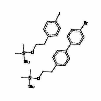 CC(C)(C)[Si](C)(C)OCCc1ccc(-c2ccc(Br)cc2)cc1.CC(C)(C)[Si](C)(C)OCCc1ccc(I)cc1